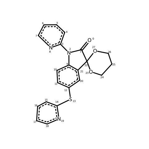 O=C1N(c2ccccn2)c2ccc(Sc3ccccn3)cc2C12OCCCO2